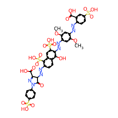 COc1cc(/N=N/c2c(S(=O)(=O)O)cc3c(S(=O)(=O)O)c(/N=N/C4C(=O)N(c5ccc(S(=O)(=O)O)cc5)N=C4C(=O)O)ccc3c2O)c(OC)cc1/N=N/c1ccc(S(=O)(=O)O)cc1C(=O)O